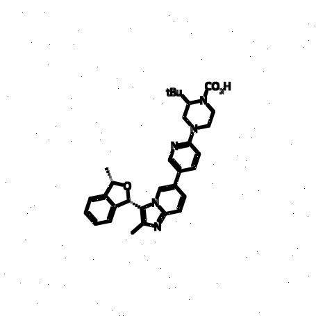 Cc1nc2ccc(-c3ccc(N4CCN(C(=O)O)C(C(C)(C)C)C4)nc3)cn2c1[C@H]1O[C@@H](C)c2ccccc21